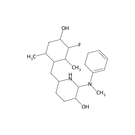 CC1CC(O)C(F)C(C)C1CC1CCC(O)C(N(C)C2=CC=CCC2)N1